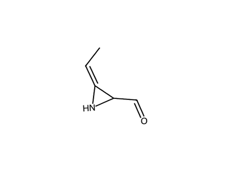 CC=C1NC1C=O